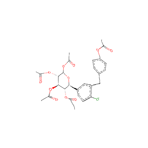 CC(=O)Oc1ccc(Cc2cc([C@@H]3OC(OC(C)=O)[C@@H](OC(C)=O)[C@H](OC(C)=O)[C@H]3OC(C)=O)ccc2Cl)cc1